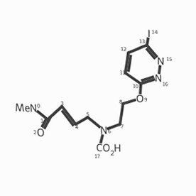 CNC(=O)C=CCN(CCOc1ccc(I)nn1)C(=O)O